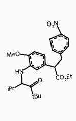 CCOC(=O)C(Cc1ccc([N+](=O)[O-])cc1)c1ccc(OC)c(NC(C(=O)C(C)(C)C)C(C)C)c1